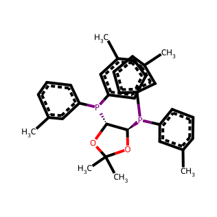 Cc1cccc(P(c2cccc(C)c2)[C@H]2OC(C)(C)O[C@@H]2P(c2cccc(C)c2)c2cccc(C)c2)c1